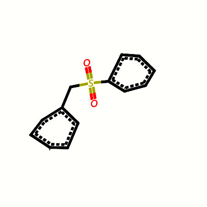 O=S(=O)(Cc1cc[c]cc1)c1ccccc1